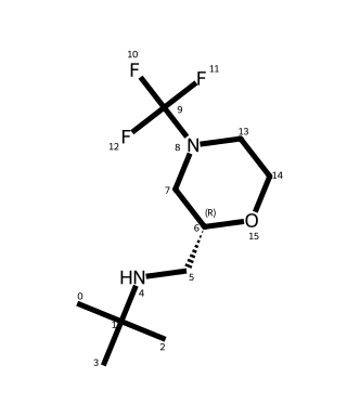 CC(C)(C)NC[C@@H]1CN(C(F)(F)F)CCO1